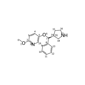 COc1ccc(OC(c2ccccc2)[C@H]2CCNC2)cn1